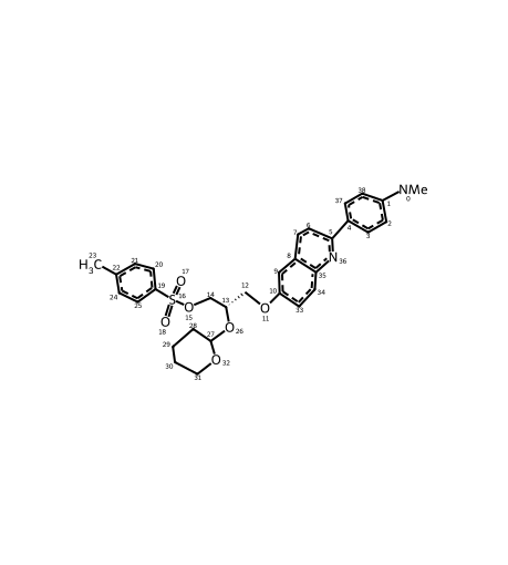 CNc1ccc(-c2ccc3cc(OC[C@@H](COS(=O)(=O)c4ccc(C)cc4)OC4CCCCO4)ccc3n2)cc1